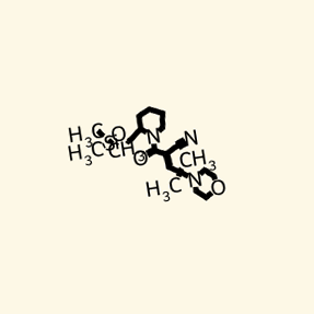 CC(C)(C=C(C#N)C(=O)N1CCCCC1CO[Si](C)(C)C)N1CCOCC1